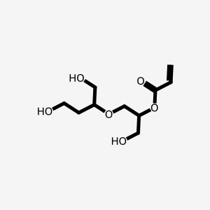 C=CC(=O)OC(CO)COC(CO)CCO